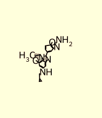 C[C@@H]1Cn2c(-c3ccc4oc(N)nc4c3)nc3cc(NCC4CC4)cc(c32)O1